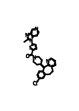 Cc1nc2cnccc2n1-c1ccc(C(=O)N2CCC(=C3c4ccc(Cl)cc4CCc4cccnc43)CC2)s1